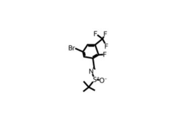 CC(C)(C)[S+]([O-])/N=C/c1cc(Br)cc(C(F)(F)F)c1F